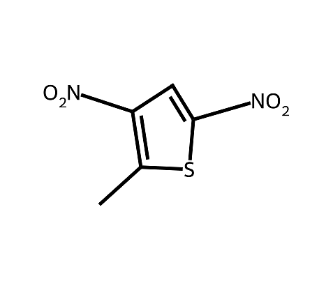 Cc1sc([N+](=O)[O-])cc1[N+](=O)[O-]